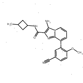 COc1ccc(C#N)cc1-c1cccn2c(N)c(C(=O)NC3CC(C)C3)nc12